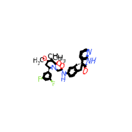 CO[C@@H]1C[C@H](c2cc(F)cc(F)c2)N(CC(=O)Nc2ccc3c(c2)C[C@@]2(C3)C(=O)Nc3ncccc32)C(=O)C1(C)C